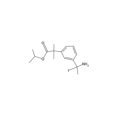 CC(C)OC(=O)C(C)(C)c1cccc(C(C)(N)I)c1